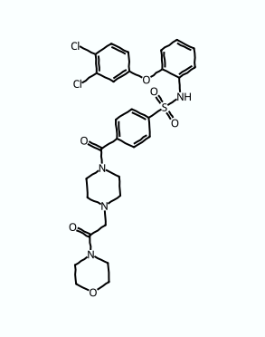 O=C(CN1CCN(C(=O)c2ccc(S(=O)(=O)Nc3ccccc3Oc3ccc(Cl)c(Cl)c3)cc2)CC1)N1CCOCC1